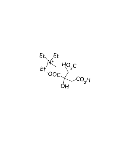 CC[N+](C)(CC)CC.O=C(O)CC(O)(CC(=O)O)C(=O)[O-]